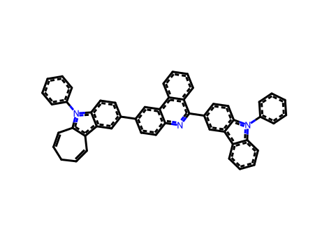 C1=Cc2c(n(-c3ccccc3)c3ccc(-c4ccc5nc(-c6ccc7c(c6)c6ccccc6n7-c6ccccc6)c6ccccc6c5c4)cc23)C=CC1